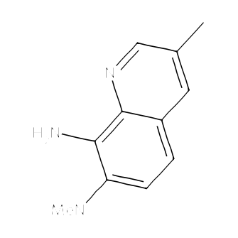 CNc1ccc2cc(C)cnc2c1N